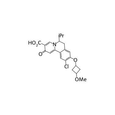 COC1CC(Oc2cc3c(cc2Cl)-c2cc(=O)c(C(=O)O)cn2C(C(C)C)C3)C1